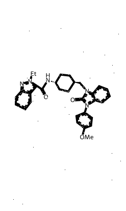 CCn1nc2ccccc2c1C(=O)N[C@H]1CC[C@H](Cn2c(=O)n(-c3ccc(OC)cc3)c3ccccc32)CC1